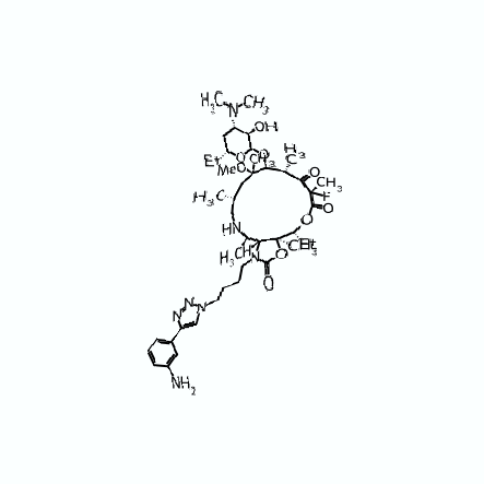 CC[C@@H]1C[C@H](N(C)C)[C@@H](O)C(O[C@H]2[C@H](C)C(=O)[C@](C)(F)C(=O)O[C@H](CC)[C@@]3(C)OC(=O)N(CCCCn4cc(-c5cccc(N)c5)nn4)[C@@H]3[C@@H](C)NC[C@H](C)C[C@@]2(C)OC)O1